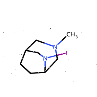 CN1CC2CCC(C1)N(I)C2